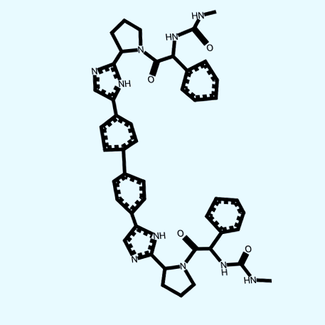 CNC(=O)NC(C(=O)N1CCCC1c1ncc(-c2ccc(-c3ccc(-c4cnc(C5CCCN5C(=O)C(NC(=O)NC)c5ccccc5)[nH]4)cc3)cc2)[nH]1)c1ccccc1